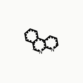 [c]1nc2ncccc2c2ccccc12